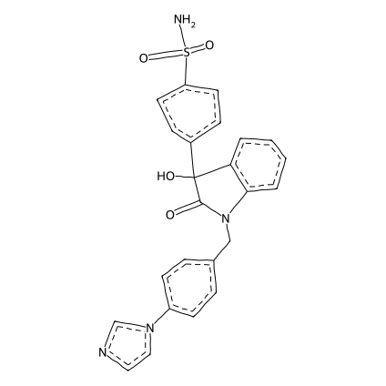 NS(=O)(=O)c1ccc(C2(O)C(=O)N(Cc3ccc(-n4ccnc4)cc3)c3ccccc32)cc1